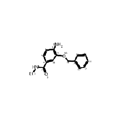 CCNC(=O)c1ccc(N)c(OCc2ccccc2)c1